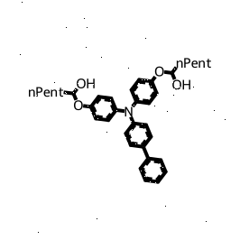 CCCCCC(O)Oc1ccc(N(c2ccc(OC(O)CCCCC)cc2)c2ccc(-c3ccccc3)cc2)cc1